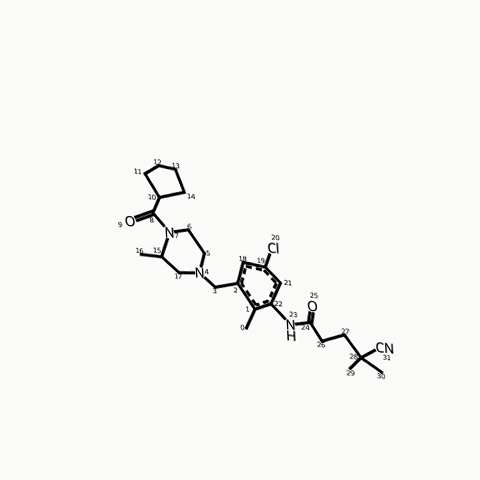 Cc1c(CN2CCN(C(=O)C3CCCC3)C(C)C2)cc(Cl)cc1NC(=O)CCC(C)(C)C#N